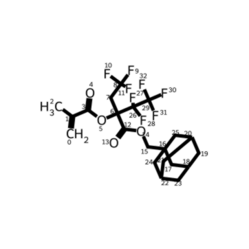 C=C(C)C(=O)OC(CC(F)(F)F)(C(=O)OCC12CC3CC(CC(C3)C1)C2)C(F)(F)C(F)(F)F